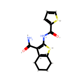 NC(=O)c1c(NC(=O)c2cccs2)sc2c1CCCC2